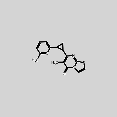 Cc1cccc(C2CC2c2nc3sccn3c(=O)c2C)n1